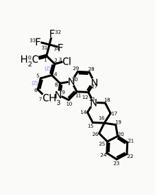 C=C(/C(Cl)=C(\C=C/C)c1ncc2c(N3CCC4(CC3)Cc3ccccc3C4)nccn12)C(F)(F)F